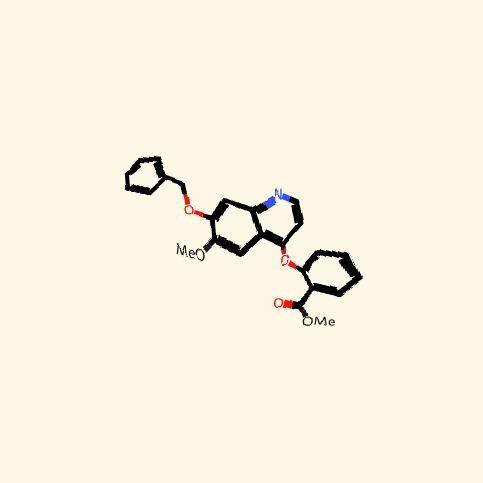 COC(=O)c1ccccc1Oc1ccnc2cc(OCc3ccccc3)c(OC)cc12